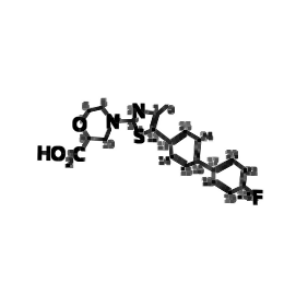 Cc1nc(N2CCOC(C(=O)O)C2)sc1-c1ccc(-c2ccc(F)cc2)cc1